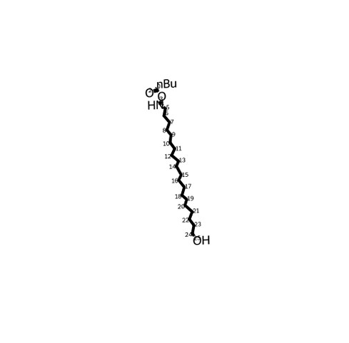 CCCCC(=O)ONCCCCCCCCCCCCCCCCCCCCO